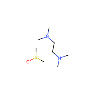 CN(C)CCN(C)C.C[S+](C)[O-]